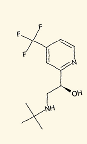 CC(C)(C)NC[C@H](O)c1cc(C(F)(F)F)ccn1